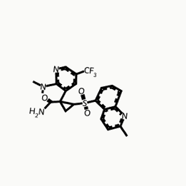 Cc1ccc2c(S(=O)(=O)C3CC3(C(N)=O)c3cc(C(F)(F)F)cnc3N(C)C)cccc2n1